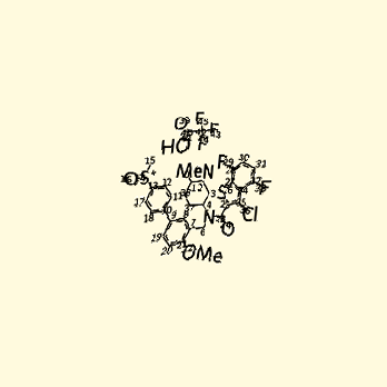 CNC1CCC(N(Cc2cc(-c3ccc([S+](C)[O-])cc3)ccc2OC)C(=O)c2sc3c(F)ccc(F)c3c2Cl)CC1.O=C(O)C(F)(F)F